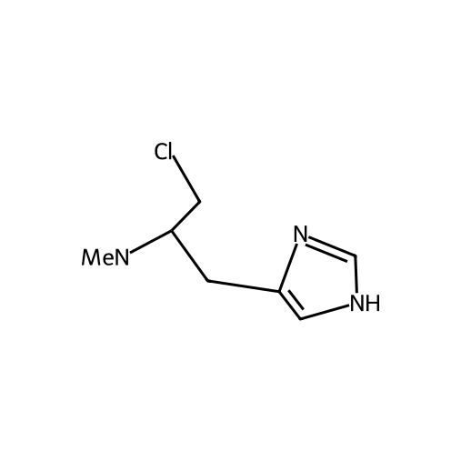 CNC(CCl)Cc1c[nH]cn1